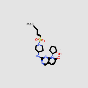 COCC/C=C/S(=O)(=O)N1CCC(Nc2ncc3ccc(=O)n([C@@H]4CCC[C@@]4(C)O)c3n2)CC1